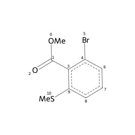 COC(=O)c1c(Br)cccc1SC